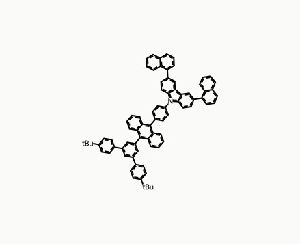 CC(C)(C)c1ccc(-c2cc(-c3ccc(C(C)(C)C)cc3)cc(-c3c4ccccc4c(-c4ccc(-n5c6ccc(-c7cccc8ccccc78)cc6c6cc(-c7cccc8ccccc78)ccc65)cc4)c4ccccc34)c2)cc1